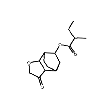 CCC(C)C(=O)OC1CC2CCC1C1OCC(=O)C21